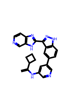 C=C(Nc1cncc(-c2ccc3[nH]nc(-c4nc5ccncc5[nH]4)c3c2)c1)C1CCC1